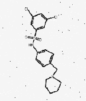 O=S(=O)(Nc1ccc(CN2CCCCC2)cc1)c1cc(Cl)cc(Cl)c1